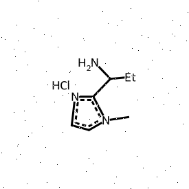 CCC(N)c1nccn1C.Cl